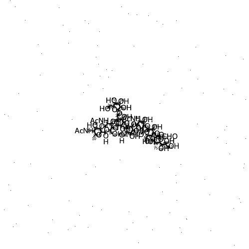 CC(=O)NC1[C@H](O[C@@H]2C(CO)O[C@@H](C)C(NC(C)=O)[C@H]2O)OC(CO)[C@@H](O[C@@H]2OC(CO[C@H]3OC(CO)[C@@H](O)[C@H](O)C3O)[C@@H](O)[C@H](O[C@H]3O[C@H](CO)[C@@H](O)C(O)C3O[C@@H]3OC(CO)[C@@H](O[C@@H]4OC(CO)[C@H](O)[C@H](O[C@]5(OC=O)CC(O)[C@@H](C)C([C@H](O)[C@H](O)CO)O5)C4O)[C@H](O)C3NC(C)=O)C2O)[C@@H]1O